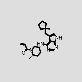 C=CC(=O)N1C[C@H](Nc2ncnc3[nH]cc(CC4(C)CCCC4)c23)CC[C@@H]1C